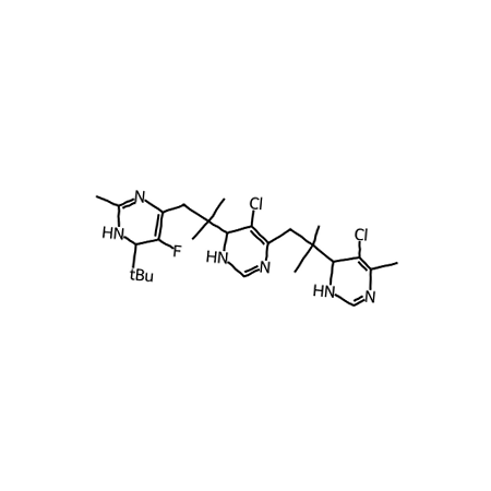 CC1=NC(CC(C)(C)C2NC=NC(CC(C)(C)C3NC=NC(C)=C3Cl)=C2Cl)=C(F)C(C(C)(C)C)N1